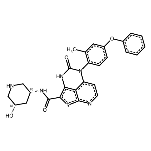 Cc1cc(Oc2ccccc2)ccc1N1C(=O)Nc2c(C(=O)N[C@H]3CNC[C@@H](O)C3)sc3nccc1c23